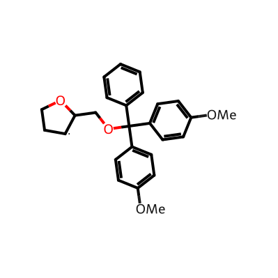 COc1ccc(C(OCC2[CH]CCO2)(c2ccccc2)c2ccc(OC)cc2)cc1